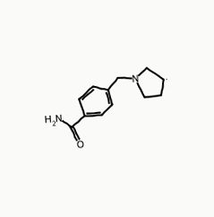 NC(=O)c1ccc(CN2C[CH]CC2)cc1